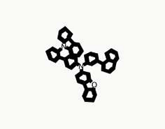 c1cc(-c2cccc3ccccc23)cc(N(c2ccc(-c3ccccc3-n3c4ccccc4c4ccccc43)cc2)c2ccc3c(c2)oc2ccccc23)c1